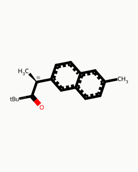 Cc1ccc2cc([C@H](C)C(=O)C(C)(C)C)ccc2c1